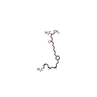 CC/C=C\C/C=C\C/C=C\CCC1CCC(CCCCCCC(=O)CCC(C)CC)C1